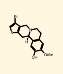 CCc1csc2c1CN1CCc3cc(OC)c(O)cc3[C@@H]1C2